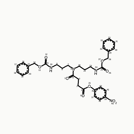 O=C(CCC(=O)N(CCCNC(=O)OCc1ccccc1)CCCNC(=O)OCc1ccccc1)Oc1ccc([N+](=O)[O-])cc1